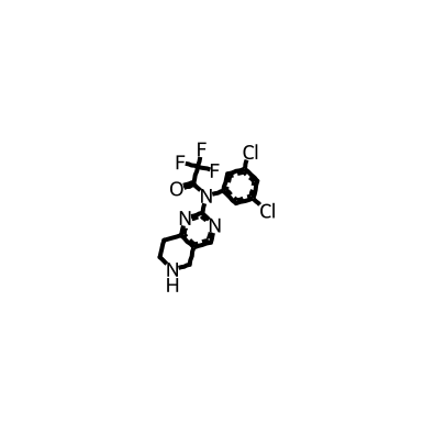 O=C(N(c1cc(Cl)cc(Cl)c1)c1ncc2c(n1)CCNC2)C(F)(F)F